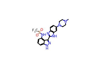 CN1CCN(c2ccc3nc(-c4n[nH]c5cccc(NS(=O)(=O)C(F)(F)F)c45)[nH]c3c2)CC1